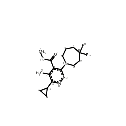 COC(=O)c1c(N2CCCC(F)(F)CC2)nnc(C2CC2)c1C